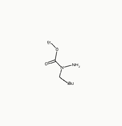 CCOC(=O)N(N)CC(C)CC